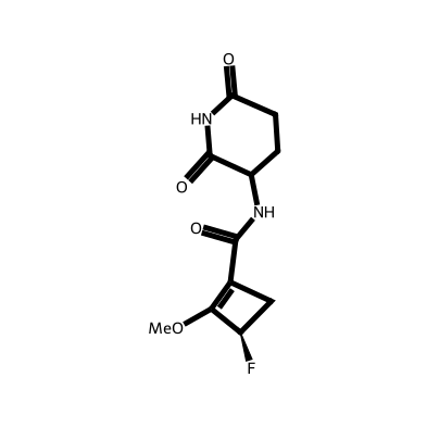 COC1=C(C(=O)NC2CCC(=O)NC2=O)C[C@H]1F